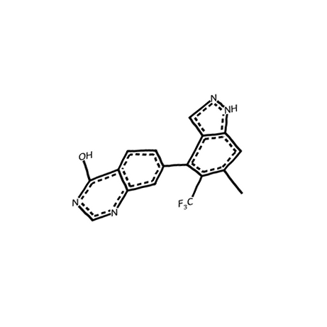 Cc1cc2[nH]ncc2c(-c2ccc3c(O)ncnc3c2)c1C(F)(F)F